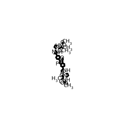 COC(=O)NC(C(=O)N1CCC[C@H]1c1ncc(-c2ccc3c(c2)c(F)c2n3COc3cc(-c4cnc([C@@H]5CCCN5C(=O)[C@@H](NC(=O)OC)C(C)C)[nH]4)ccc3-2)[nH]1)C(C)C